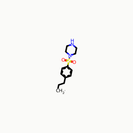 [CH2]CCc1ccc(S(=O)(=O)N2CCNCC2)cc1